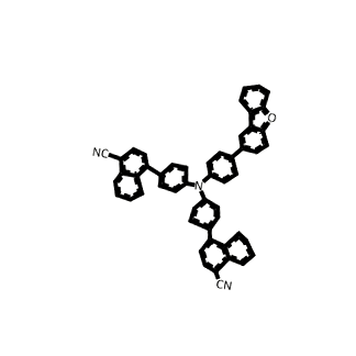 N#Cc1ccc(-c2ccc(N(c3ccc(-c4ccc5oc6ccccc6c5c4)cc3)c3ccc(-c4ccc(C#N)c5ccccc45)cc3)cc2)c2ccccc12